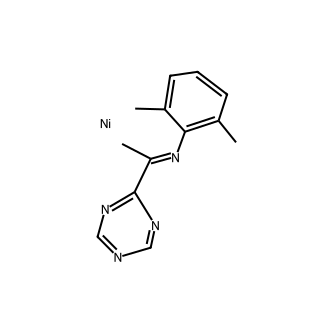 CC(=Nc1c(C)cccc1C)c1ncncn1.[Ni]